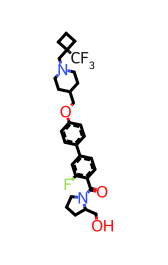 O=C(c1ccc(-c2ccc(OCC3CCN(CC4(C(F)(F)F)CCC4)CC3)cc2)cc1F)N1CCCC1CO